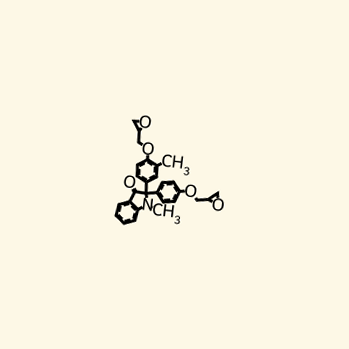 Cc1cc(C2(c3ccc(OCC4CO4)cc3)C(=O)c3ccccc3N2C)ccc1OCC1CO1